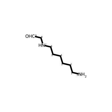 NCCCCCCNCC=O